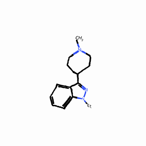 CCn1nc(C2CCN(C)CC2)c2ccccc21